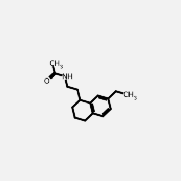 CCc1ccc2c(c1)C(CCNC(C)=O)CCC2